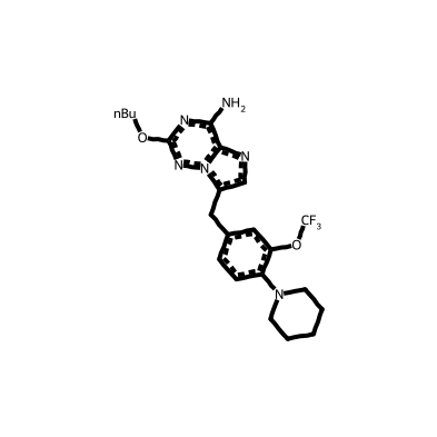 CCCCOc1nc(N)c2ncc(Cc3ccc(N4CCCCC4)c(OC(F)(F)F)c3)n2n1